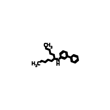 CCCCCC(CCCCC)Nc1cccc(-c2ccccc2)c1